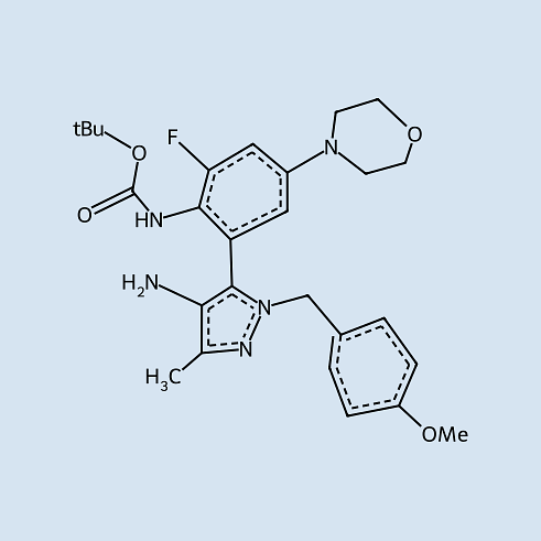 COc1ccc(Cn2nc(C)c(N)c2-c2cc(N3CCOCC3)cc(F)c2NC(=O)OC(C)(C)C)cc1